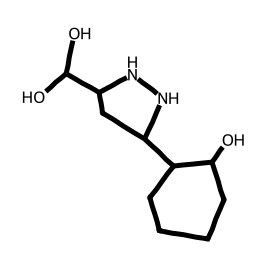 OC(O)C1CC(C2CCCCC2O)NN1